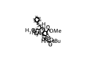 COC(=O)c1cc(S(=O)(=O)NC(=O)OC(C)(C)C)cc(C)c1NC(CCN(C)C)CSc1ccccc1